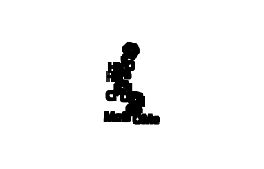 COc1cc2nccc(Oc3ncc(NC(=S)NC(=O)Cc4ccccc4)cc3Cl)c2cc1OC